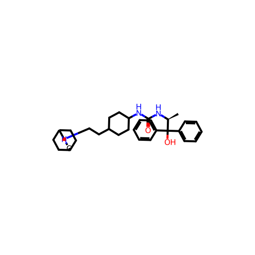 C[C@H](NC(=O)NC1CCC(CCN2CC3CCC(CC3)C2)CC1)C(O)(c1ccccc1)c1ccccc1